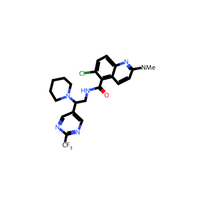 CNc1ccc2c(C(=O)NCC(c3cnc(C(F)(F)F)nc3)N3CCCCC3)c(Cl)ccc2n1